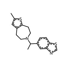 Cc1cc2c(s1)CCN(C(C)c1ccc3scnc3c1)CC2